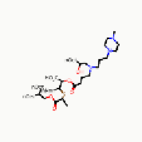 CCCCCCCCCCC(CCCCCCCC)COC(=O)C(C)SC(CCCCCCCCC)C(OC(=O)CCCN(CCCN1CCN(C)CC1)CC(O)CCCCCCCC)C(=O)O